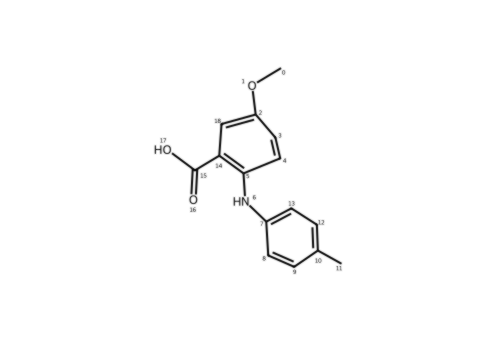 COc1ccc(Nc2ccc(C)cc2)c(C(=O)O)c1